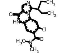 CCC(CC)c1ncc2c(=O)[nH]c3cc(C(=O)N(C)C)c(Cl)cc3n12